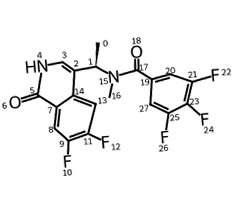 C[C@H](c1c[nH]c(=O)c2cc(F)c(F)cc12)N(C)C(=O)c1cc(F)c(F)c(F)c1